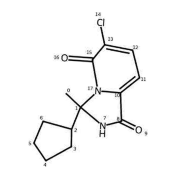 CC1(C2CCCC2)NC(=O)c2ccc(Cl)c(=O)n21